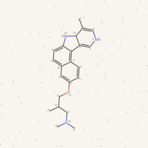 CC1=CNC=C2c3c(ccc4cc(OCC(C)CN(C)C)ccc34)NC12